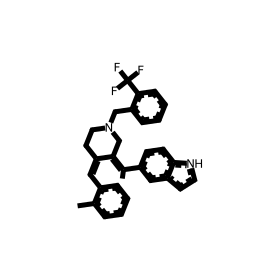 C/C(=C1/CN(Cc2ccccc2C(F)(F)F)CC/C1=C/c1ccccc1C)c1ccc2[nH]ccc2c1